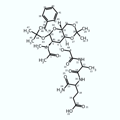 CC(=O)N(C)[C@@H]1[C@@H](OCC(=O)NC(C)C(=O)NC(CCC(=O)O)C(N)=O)[C@@H]2OC(C)(C)OC[C@H]2O[C@]1(Cc1ccccc1)OC(C)(C)C